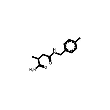 Cc1ccc(CNC(=O)CC(C)C(N)=O)cc1